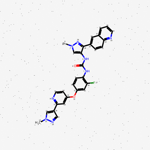 CC(C)n1cc(NC(=O)Nc2ccc(Oc3ccnc(-c4cnn(C)c4)c3)cc2F)c(-c2ccc3ncccc3c2)n1